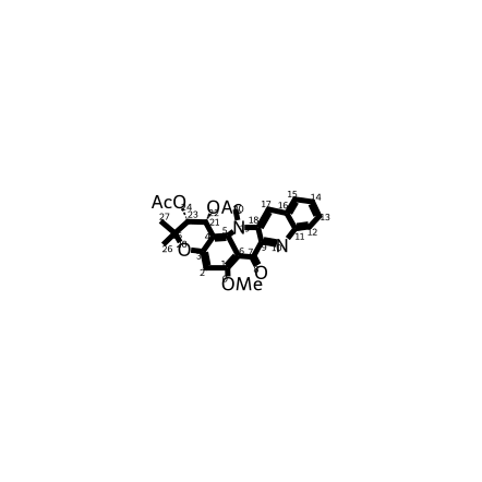 COc1cc2c(c3c1c(=O)c1nc4ccccc4cc1n3C)[C@@H](OC(C)=O)[C@@H](OC(C)=O)C(C)(C)O2